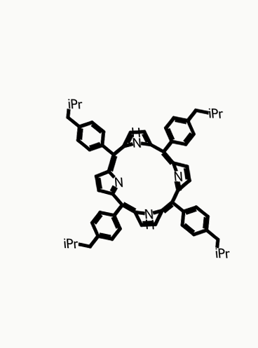 CC(C)Cc1ccc(-c2c3nc(c(-c4ccc(CC(C)C)cc4)c4ccc([nH]4)c(-c4ccc(CC(C)C)cc4)c4nc(c(-c5ccc(CC(C)C)cc5)c5ccc2[nH]5)C=C4)C=C3)cc1